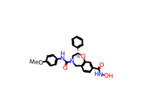 COc1ccc(NC(=O)N2Cc3ccc(C(=O)NO)cc3O[C@@H](c3ccccc3)C2)cc1